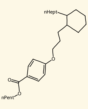 CCCCCCCC1CCCCC1CCCOc1ccc(C(=O)OCCCCC)cc1